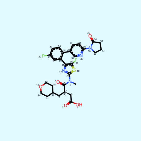 CN(C(=O)[C@@H](CC(=O)O)CC1CCOCC1)c1nc(-c2cc(F)ccc2-c2ccc(N3CCCC3=O)nc2)c(F)s1